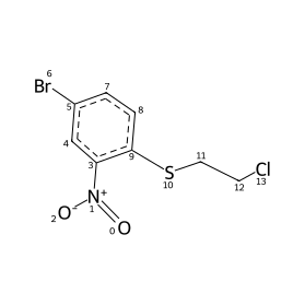 O=[N+]([O-])c1cc(Br)ccc1SCCCl